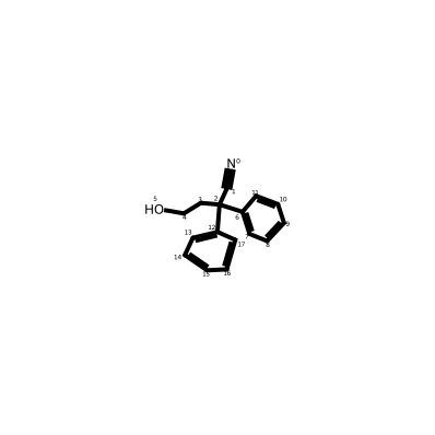 N#CC(CCO)(c1ccccc1)c1ccccc1